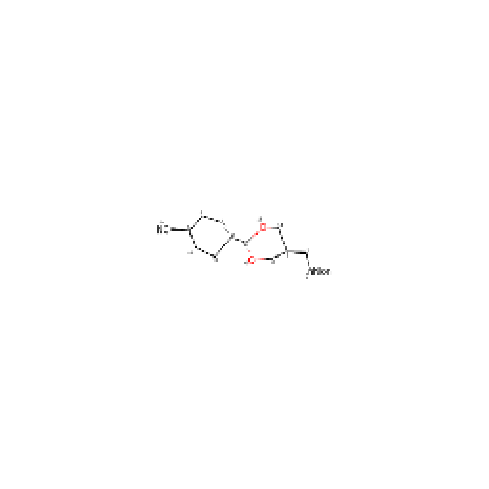 CCCCCCCCCC[C@H]1CO[C@H]([C@H]2CC[C@H](C#N)CC2)OC1